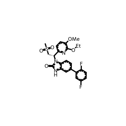 CCOc1nc([C@@H](CS(C)(=O)=O)n2c(=O)[nH]c3cc(-c4cc(F)ccc4F)ccc32)ccc1OC